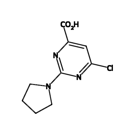 O=C(O)c1cc(Cl)nc(N2CCCC2)n1